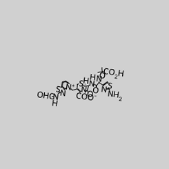 CC(C)(ON=C(C(=O)NC1C(=O)N2C(C(=O)[O-])=C(C[n+]3cccc4sc(NC=O)nc43)CS[C@@H]12)c1csc(N)n1)C(=O)O